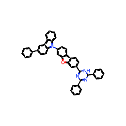 c1ccc(C2=NC(c3ccccc3)NC(c3ccc4c(c3)oc3cc(-n5c6ccccc6c6cc(-c7ccccc7)ccc65)ccc34)=N2)cc1